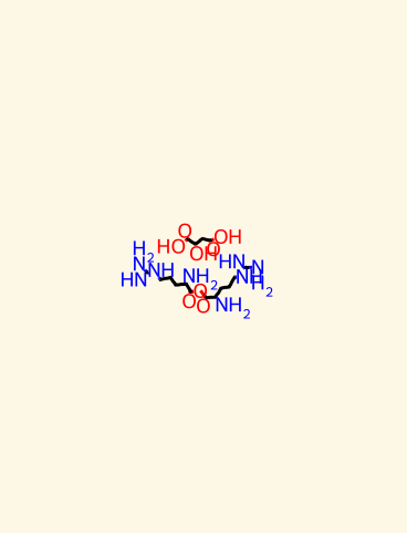 N=C(N)NCCC[C@H](N)C(=O)OC(=O)[C@@H](N)CCCNC(=N)N.O=C(O)CC(O)C(=O)O